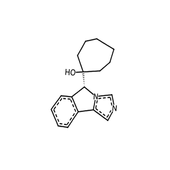 OC1([C@H]2c3ccccc3-c3cncn32)CCCCCC1